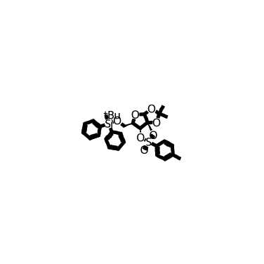 Cc1ccc(S(=O)(=O)O[C@@H]2[C@@H](CO[Si](c3ccccc3)(c3ccccc3)C(C)(C)C)OC3OC(C)(C)O[C@@]32C)cc1